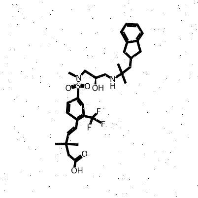 CN(C[C@H](O)CNC(C)(C)CC1Cc2ccccc2C1)S(=O)(=O)c1ccc(C=CC(C)(C)CC(=O)O)c(C(F)(F)F)c1